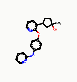 CC1(O)CCC(c2cccnc2Oc2ccc(Nc3ccccn3)cc2)C1